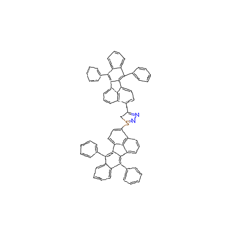 c1ccc(-c2c3c(c(-c4ccccc4)c4ccccc24)-c2ccc(C4=NN=S(c5ccc6c7c(cccc57)-c5c-6c(-c6ccccc6)c6ccccc6c5-c5ccccc5)C4)c4cccc-3c24)cc1